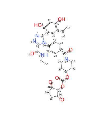 CCNC(=O)c1nnc(-c2cc(C(C)C)c(O)cc2O)n1-c1ccc(C(=O)N2CCC(OC(=O)OC3C(=O)CCC3=O)CC2)cc1